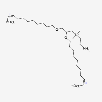 CCCCCCCC/C=C\CCCCCCCCOCC(C[N+](C)(C)CCN)OCCCCCCCC/C=C\CCCCCCCC